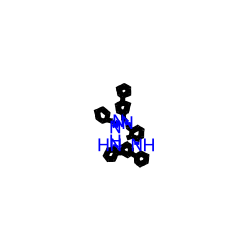 CC1C(/C=N/C(c2ccc(-c3ccccc3)cc2)[N@@]2NC2C2C=CC=CC2)=CC=CC1Nc1cc2[nH]c3ccccc3c2cc1-c1ccccc1